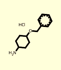 Cl.NC1CCC(OCc2ccccc2)CC1